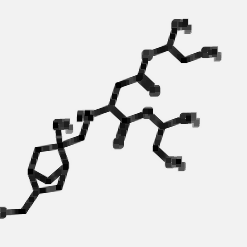 CCC(C)OC(=O)CC(NCC1(C)CC2CC1CC2CO)C(=O)OC(C)CC